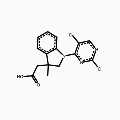 CC1(CC(=O)O)CN(c2nc(Cl)ncc2Cl)c2ccccc21